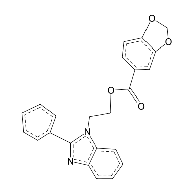 O=C(OCCn1c(-c2ccccc2)nc2ccccc21)c1ccc2c(c1)OCO2